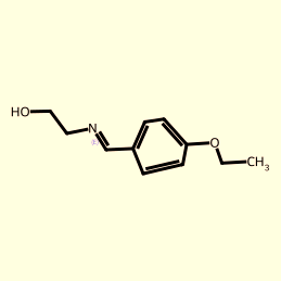 CCOc1ccc(/C=N/CCO)cc1